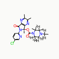 [2H]C([2H])(C)N1C([2H])([2H])C([2H])([2H])N(C(=O)O[C@@]2(C)c3nc(C)c(C)nc3C(=O)N2c2ccc(Cl)cn2)C(C)(C)C1([2H])C